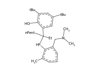 CCCCCC(CC)(Pc1c(C)cccc1CN(C)C)c1cc(C(C)(C)C)cc(C(C)(C)C)c1O